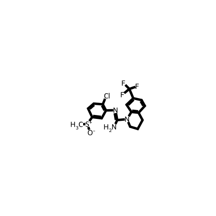 C[S+]([O-])c1ccc(Cl)c(N=C(N)N2CCCc3ccc(C(F)(F)F)cc32)c1